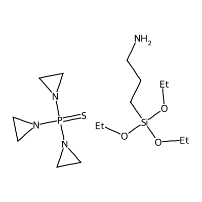 CCO[Si](CCCN)(OCC)OCC.S=P(N1CC1)(N1CC1)N1CC1